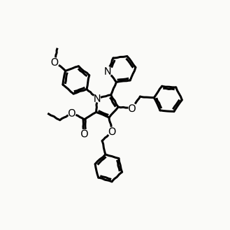 CCOC(=O)c1c(OCc2ccccc2)c(OCc2ccccc2)c(-c2ccccn2)n1-c1ccc(OC)cc1